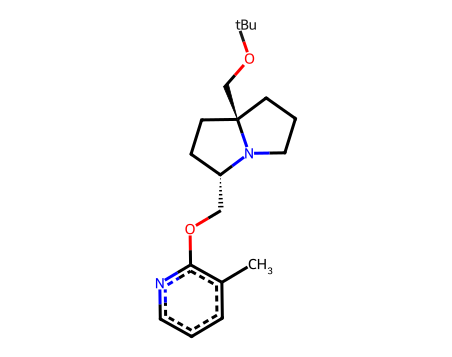 Cc1cccnc1OC[C@@H]1CC[C@]2(COC(C)(C)C)CCCN12